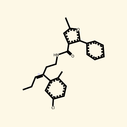 CC/C=C(/CCNC(=O)c1cc(C)oc1-c1ccccc1)c1cc(Cl)ccc1C